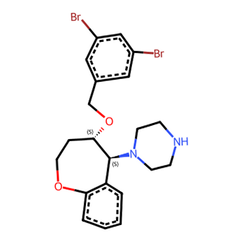 Brc1cc(Br)cc(CO[C@H]2CCOc3ccccc3[C@@H]2N2CCNCC2)c1